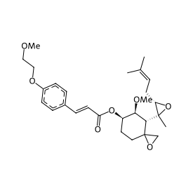 COCCOc1ccc(/C=C/C(=O)O[C@@H]2CCC3(CO3)[C@@H](C3(C)O[C@H]3CC=C(C)C)[C@@H]2OC)cc1